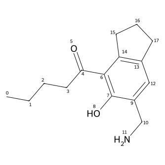 CCCCC(=O)c1c(O)c(CN)cc2c1CCC2